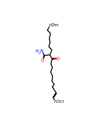 CCCCCCCCC=CCCCCCCCC(=O)C(CCCCCCCCCCCCCCCC)C(N)=O